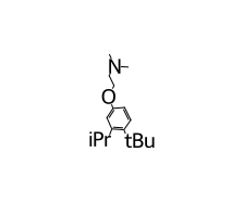 CC(C)c1cc(OCCN(C)C)ccc1C(C)(C)C